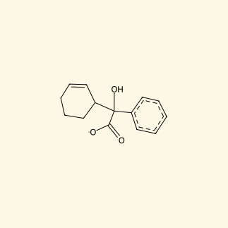 [O]C(=O)C(O)(c1ccccc1)C1C=CCCC1